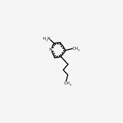 CCCCc1cnc(N)cc1C